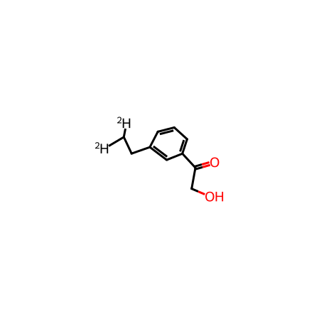 [2H]C([2H])Cc1cccc(C(=O)CO)c1